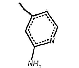 Cc1[c]cnc(N)c1